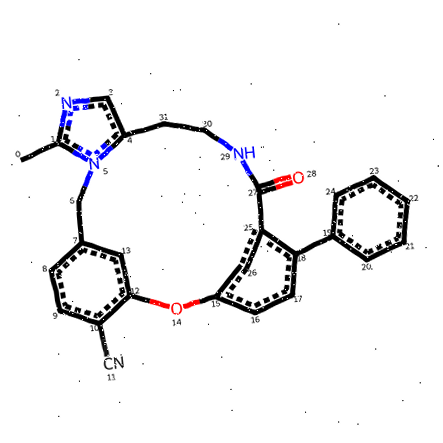 Cc1ncc2n1Cc1ccc(C#N)c(c1)Oc1ccc(-c3ccccc3)c(c1)C(=O)NCC2